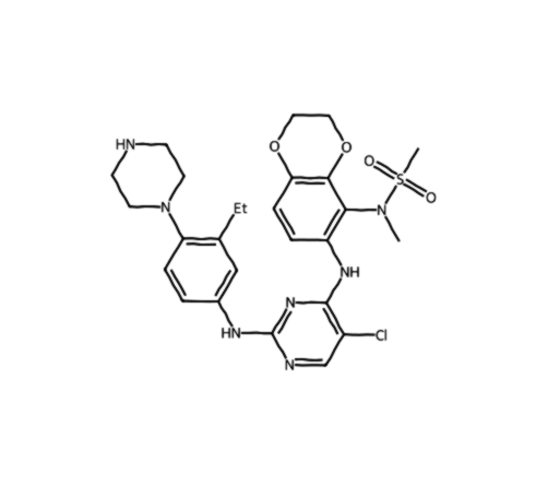 CCc1cc(Nc2ncc(Cl)c(Nc3ccc4c(c3N(C)S(C)(=O)=O)OCCO4)n2)ccc1N1CCNCC1